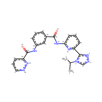 CC(C)n1cnnc1-c1cccc(NC(=O)c2cccc(NC(=O)c3cccnn3)c2)n1